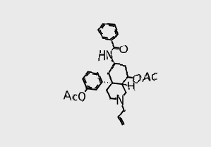 C=CCN1CC[C@@]2(c3cccc(OC(C)=O)c3)C[C@@H](NC(=O)c3ccccc3)CC(OC(C)=O)[C@@H]2C1